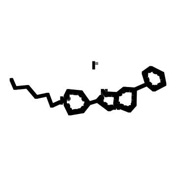 CCCCCC[n+]1ccc(-c2cn3ccc(-c4ccccc4)cc3n2)cc1.[I-]